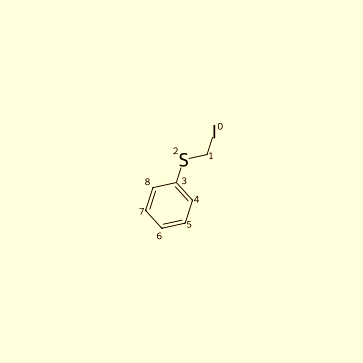 ICSc1ccccc1